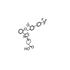 COc1cc(-c2ccc(C(F)(F)F)cc2)ccc1COc1ccccc1-c1csc(N2CCC(C(=O)O)CC2)n1